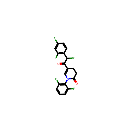 O=C(C1=CN(c2c(F)cccc2F)C(=O)CC1)C(Br)c1ccc(F)cc1F